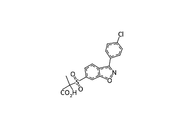 CC(C)(C(=O)O)S(=O)(=O)c1ccc2c(-c3ccc(Cl)cc3)noc2c1